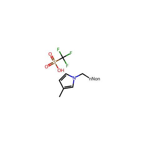 CCCCCCCCCCn1ccc(C)c1.O=S(=O)(O)C(F)(F)F